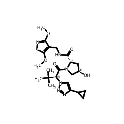 COc1nsc(OC)c1CNC(=O)[C@@H]1C[C@@H](O)CN1C(=O)[C@@H](n1cc(C2CC2)nn1)C(C)(C)C